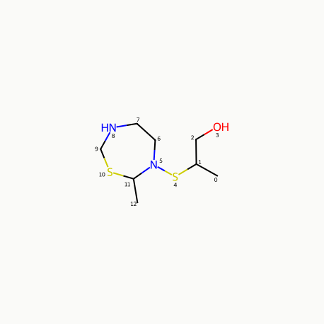 CC(CO)SN1CCNCSC1C